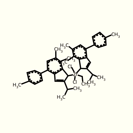 C[CH2][Zr]([Cl])([Cl])([CH]1C(C(C)C)=Cc2c(-c3ccc(C)cc3)cc(C)c(C)c21)[CH]1C(C(C)C)=Cc2c(-c3ccc(C)cc3)cc(C)c(C)c21